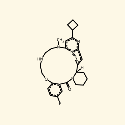 CN1CCNCCOc2ccc(F)cc2C(=O)N2CCCC[C@H]2c2cc3nc(C4CCC4)cc1n3n2